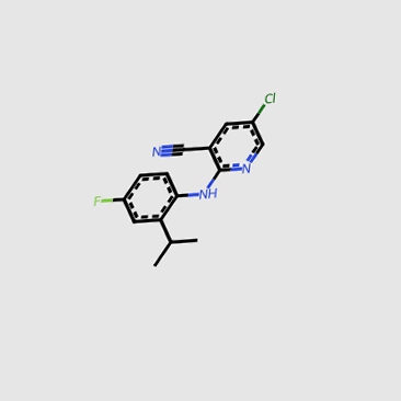 CC(C)c1cc(F)ccc1Nc1ncc(Cl)cc1C#N